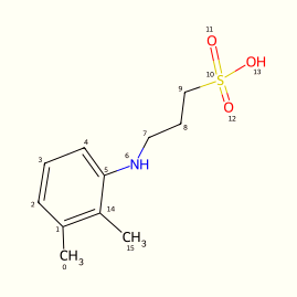 Cc1cccc(NCCCS(=O)(=O)O)c1C